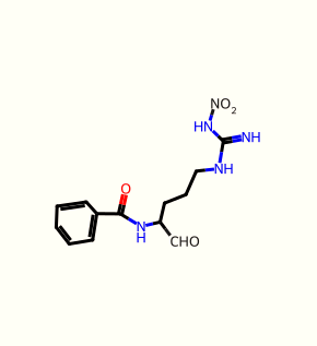 N=C(NCCCC(C=O)NC(=O)c1ccccc1)N[N+](=O)[O-]